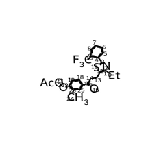 CCc1nc(-c2ccccc2C(F)(F)F)sc1CCC(=O)c1ccc(OOC(C)=O)c(C)c1